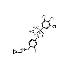 O[C@H]1N(c2ccc(CNCC3CC3)c(F)c2)CC[C@@]1(c1cc(Cl)c(Cl)c(Cl)c1)C(F)(F)F